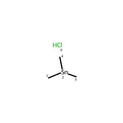 Cl.[CH3][Sn]([CH3])[CH3]